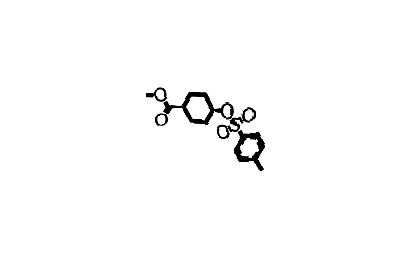 COC(=O)[C@H]1CC[C@@H](OS(=O)(=O)c2ccc(C)cc2)CC1